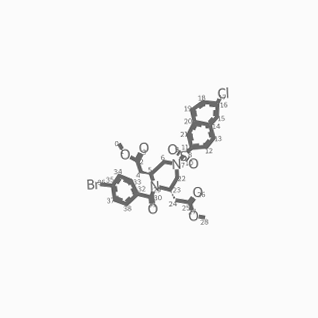 COC(=O)C[C@H]1CN(S(=O)(=O)c2ccc3cc(Cl)ccc3c2)C[C@H](CC(=O)OC)N1C(=O)c1ccc(Br)cc1